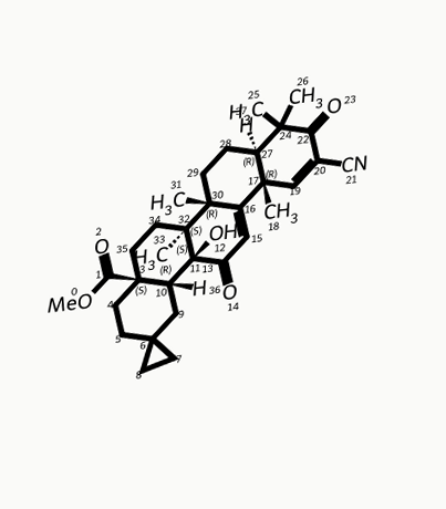 COC(=O)[C@]12CCC3(CC3)C[C@H]1[C@@]1(O)C(=O)C=C3[C@@]4(C)C=C(C#N)C(=O)C(C)(C)[C@@H]4CC[C@@]3(C)[C@]1(C)CC2